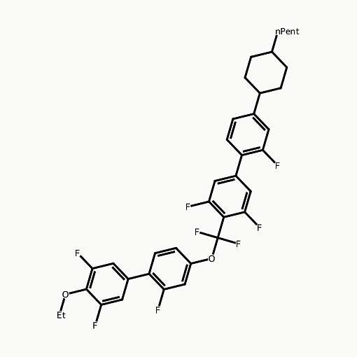 CCCCCC1CCC(c2ccc(-c3cc(F)c(C(F)(F)Oc4ccc(-c5cc(F)c(OCC)c(F)c5)c(F)c4)c(F)c3)c(F)c2)CC1